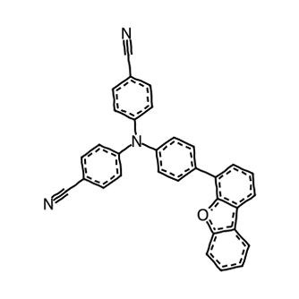 N#Cc1ccc(N(c2ccc(C#N)cc2)c2ccc(-c3cccc4c3oc3ccccc34)cc2)cc1